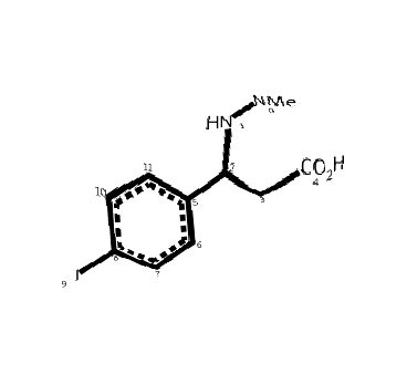 CNNC(CC(=O)O)c1ccc(I)cc1